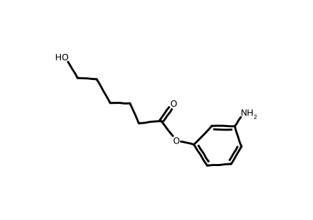 Nc1cccc(OC(=O)CCCCCO)c1